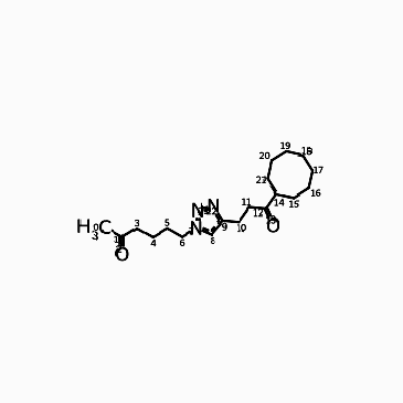 CC(=O)CCCCn1cc(CCC(=O)C2CCCCCCC2)nn1